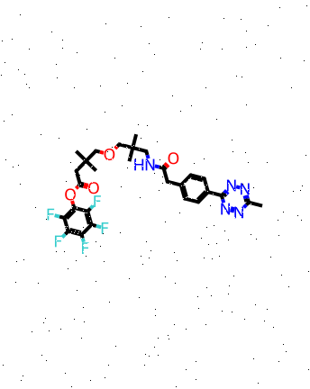 Cc1nnc(-c2ccc(CC(=O)NCC(C)(C)COCC(C)(C)CC(=O)Oc3c(F)c(F)c(F)c(F)c3F)cc2)nn1